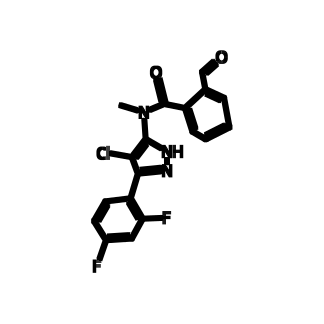 CN(C(=O)c1ccccc1C=O)c1[nH]nc(-c2ccc(F)cc2F)c1Cl